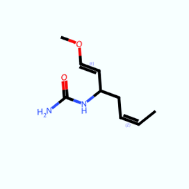 C/C=C\CC(/C=C/OC)NC(N)=O